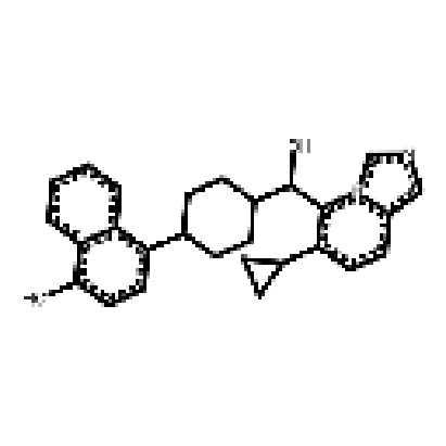 Oc1ccc(C2CCC(C(O)c3c(C4CC4)ccc4cncn34)CC2)c2ccccc12